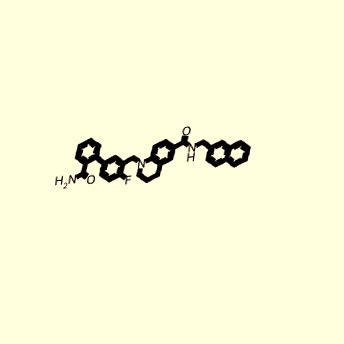 NC(=O)c1ccccc1-c1ccc(F)c(CN2CCCc3cc(C(=O)NCc4ccc5ccccc5c4)ccc32)c1